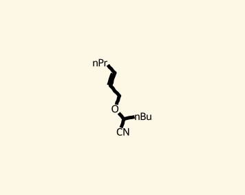 CCC/C=C/COC(C#N)CCCC